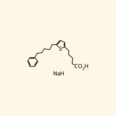 O=C(O)CCCCc1ccc(CCCCCc2ccccc2)s1.[NaH]